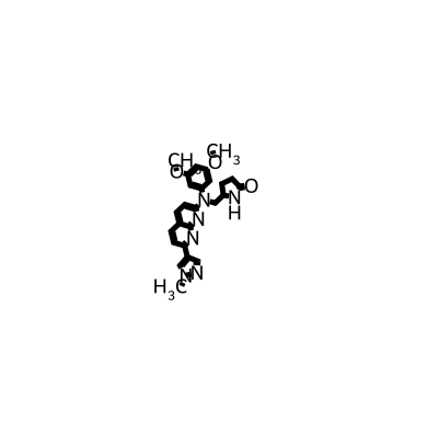 COc1cc(OC)cc(N(CC2CCC(=O)N2)c2ccc3ccc(-c4cnn(C)c4)nc3n2)c1